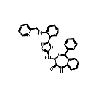 O=C1Nc2ccccc2C(c2ccccc2)=NC1Nc1nnc(-c2ccccc2NCc2ccccn2)o1